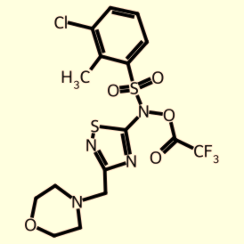 Cc1c(Cl)cccc1S(=O)(=O)N(OC(=O)C(F)(F)F)c1nc(CN2CCOCC2)ns1